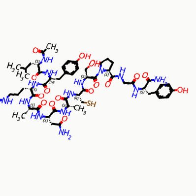 CC(=O)N[C@@H](CC(C)C)C(=O)N[C@@H](Cc1ccc(O)cc1)C(=O)N[C@@H](CCCNC(=N)N)C(=O)N[C@@H](C)C(=O)N[C@@H](CC(N)=O)C(=O)N[C@@H](C)C(=O)N[C@@H](CS)C(=O)N[C@@H](CO)C(=O)N1CCC[C@H]1C(=O)NCC(=O)N[C@@H](Cc1ccc(O)cc1)C(N)=O